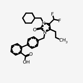 CCCc1c(C(F)F)n(CC2CCCCC2)c(=O)n1Cc1ccc(-c2ccccc2C(=O)O)cc1